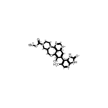 Cc1cnc2[nH]c(=O)[nH]c2c1-c1cc2ncnc3c2c(c1Cl)OCC1CN(C(=O)OC(C)(C)C)CCN31